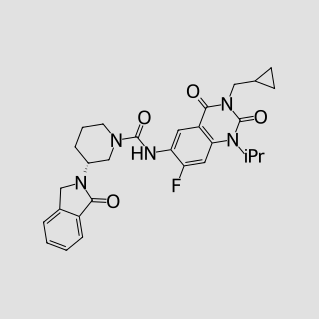 CC(C)n1c(=O)n(CC2CC2)c(=O)c2cc(NC(=O)N3CCC[C@@H](N4Cc5ccccc5C4=O)C3)c(F)cc21